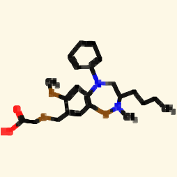 CCCCC1CN(c2ccccc2)c2cc(SC)c(CSCC(=O)O)cc2SN1C